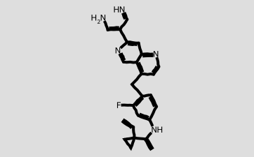 C=CC1(C(=C)Nc2ccc(Cc3ccnc4cc(/C(C=N)=C/N)ncc34)c(F)c2)CC1